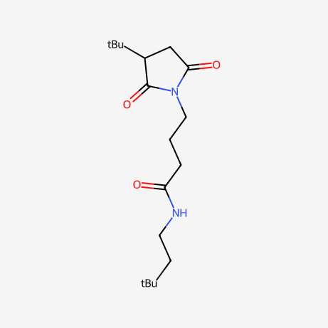 CC(C)(C)CCNC(=O)CCCN1C(=O)CC(C(C)(C)C)C1=O